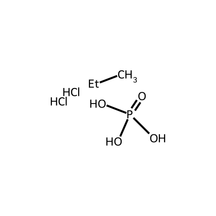 CCC.Cl.Cl.O=P(O)(O)O